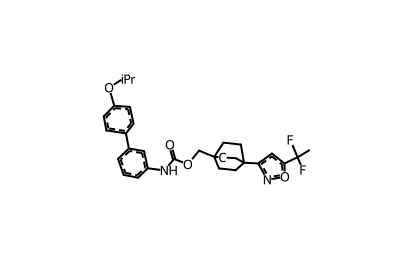 CC(C)Oc1ccc(-c2cccc(NC(=O)OCC34CCC(c5cc(C(C)(F)F)on5)(CC3)CC4)c2)cc1